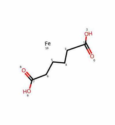 O=C(O)CCCCC(=O)O.[Fe]